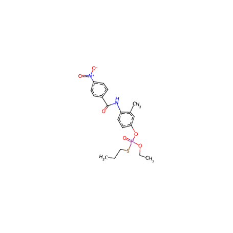 CCCSP(=O)(OCC)Oc1ccc(NC(=O)c2ccc([N+](=O)[O-])cc2)c(C)c1